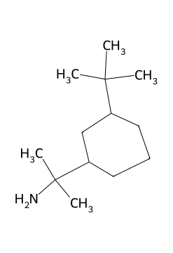 CC(C)(C)C1CCCC(C(C)(C)N)C1